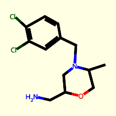 CC1COC(CN)CN1Cc1ccc(Cl)c(Cl)c1